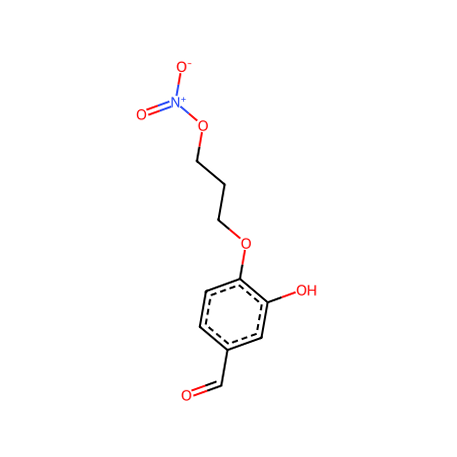 O=Cc1ccc(OCCCO[N+](=O)[O-])c(O)c1